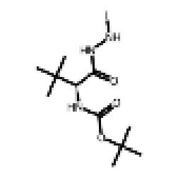 CC(C)(C)OC(=O)N[C@H](C(=O)NNI)C(C)(C)C